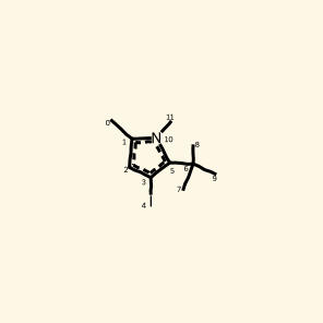 Cc1cc(I)c(C(C)(C)C)n1C